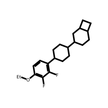 CCOc1ccc(C2CCC(C3CCC4CCC4C3)CC2)c(F)c1F